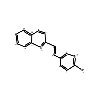 Brc1ccc(C=Cc2ccc3ccccc3n2)cn1